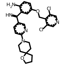 N=C(c1ccc(N2CCC3(CCCO3)CC2)nc1)c1cc(OCc2c(Cl)cncc2Cl)ccc1N